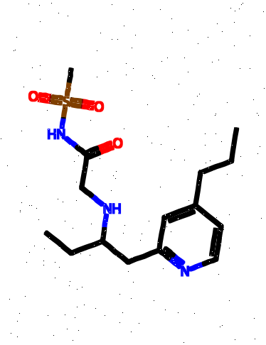 CCCc1ccnc(CC(CC)NCC(=O)NS(C)(=O)=O)c1